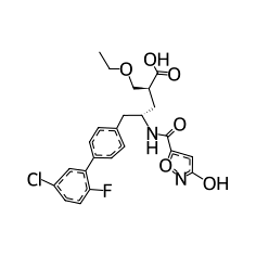 CCOC[C@H](C[C@@H](Cc1ccc(-c2cc(Cl)ccc2F)cc1)NC(=O)c1cc(O)no1)C(=O)O